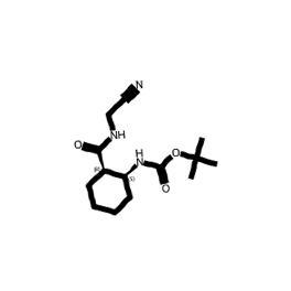 CC(C)(C)OC(=O)N[C@H]1CCCC[C@H]1C(=O)NCC#N